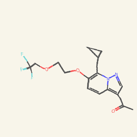 CC(=O)c1cnn2c(C3CC3)c(OCCOCC(F)(F)F)ccc12